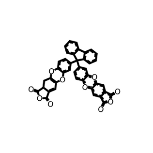 O=C1OC(=O)C2CC3=C(C=C12)Oc1cc(C2(c4ccc5oc6cc7c(=O)oc(=O)c7cc6oc5c4)c4ccccc4-c4ccccc42)ccc1O3